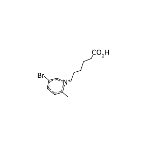 Cc1ccc(Br)c[n+]1CCCCCC(=O)O